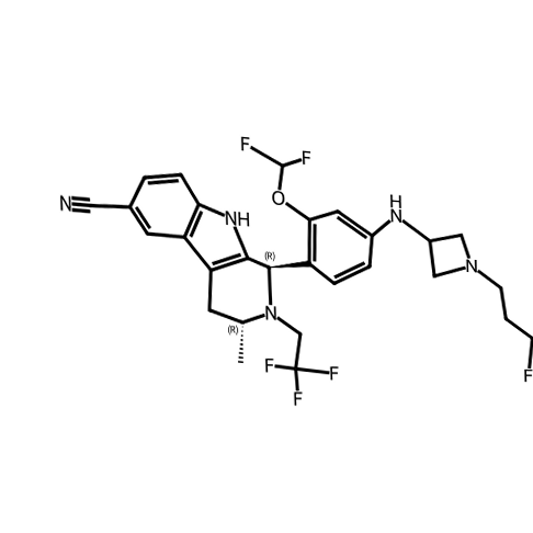 C[C@@H]1Cc2c([nH]c3ccc(C#N)cc23)[C@@H](c2ccc(NC3CN(CCCF)C3)cc2OC(F)F)N1CC(F)(F)F